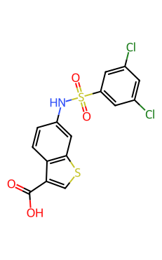 O=C(O)c1csc2cc(NS(=O)(=O)c3cc(Cl)cc(Cl)c3)ccc12